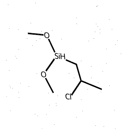 CO[SiH](CC(C)Cl)OC